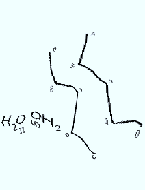 CCCCC.CCCCC.O.O